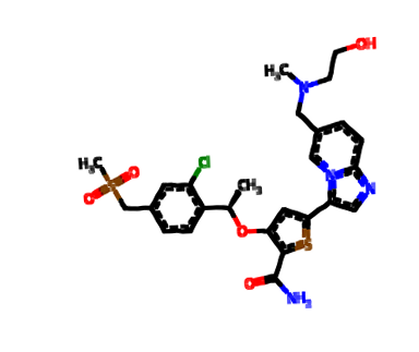 C[C@@H](Oc1cc(-c2cnc3ccc(CN(C)CCO)cn23)sc1C(N)=O)c1ccc(CS(C)(=O)=O)cc1Cl